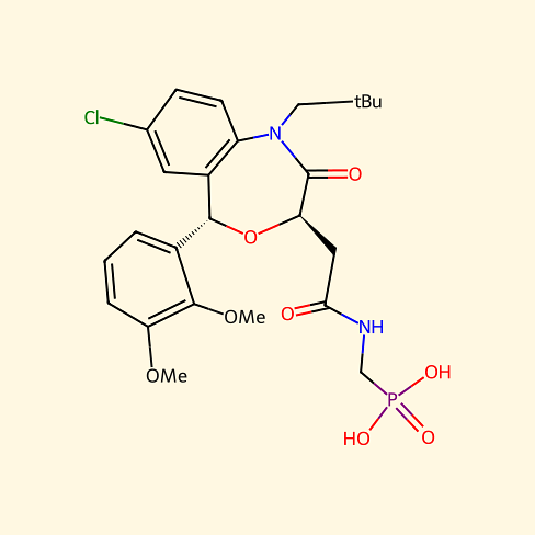 COc1cccc([C@H]2O[C@H](CC(=O)NCP(=O)(O)O)C(=O)N(CC(C)(C)C)c3ccc(Cl)cc32)c1OC